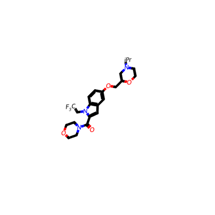 CC(C)N1CCOC(COc2ccc3c(c2)cc(C(=O)N2CCOCC2)n3CC(F)(F)F)C1